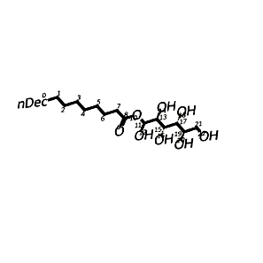 CCCCCCCCCCCCCCCCCC(=O)OC(O)[C@@H](O)[C@@H](O)[C@H](O)[C@H](O)CO